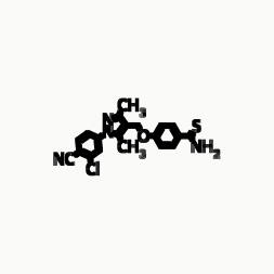 Cc1nn(-c2ccc(C#N)c(Cl)c2)c(C)c1COc1ccc(C(N)=S)cc1